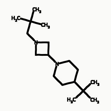 CC(C)(C)CN1CC(N2CCC(C(C)(C)C)CC2)C1